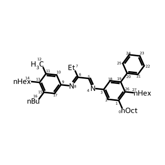 CCCCCCCCc1cc(N=CC(CC)=Nc2cc(C)c(CCCCCC)c(CCCC)c2)cc(-c2ccccc2)c1CCCCCC